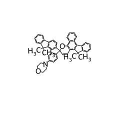 CC1(C)c2ccccc2-c2ccc(C3(c4ccc(N5CCOCC5)cc4)C=Cc4c5c(c6ccccc6c4O3)-c3ccccc3C5(C)C)cc21